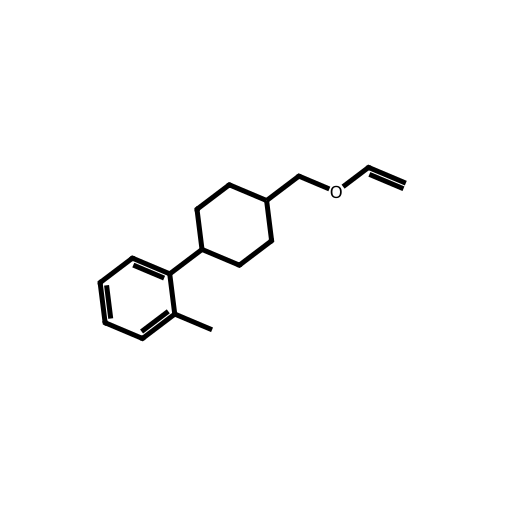 C=COCC1CCC(c2ccccc2C)CC1